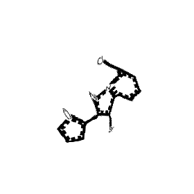 Clc1cccc2c(Br)c(-c3ccco3)nn12